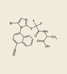 CC(NC(=O)C(F)(F)Sc1ncc(Br)n1-c1ccc(C#N)c2ccccc12)C(=O)O